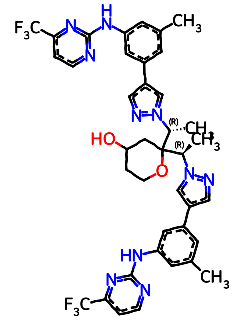 Cc1cc(Nc2nccc(C(F)(F)F)n2)cc(-c2cnn([C@H](C)C3([C@@H](C)n4cc(-c5cc(C)cc(Nc6nccc(C(F)(F)F)n6)c5)cn4)CC(O)CCO3)c2)c1